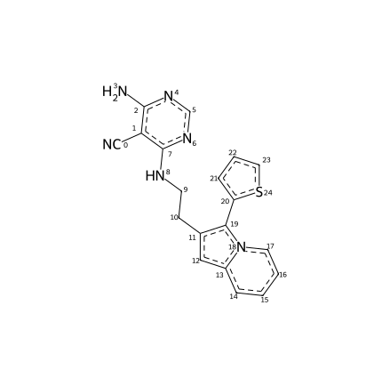 N#Cc1c(N)ncnc1NCCc1cc2ccccn2c1-c1cccs1